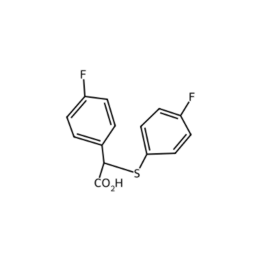 O=C(O)C(Sc1ccc(F)cc1)c1ccc(F)cc1